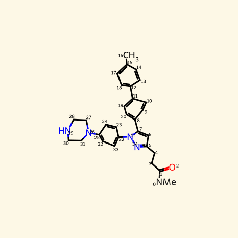 CNC(=O)CCc1cc(-c2ccc(-c3ccc(C)cc3)cc2)n(-c2ccc(N3CCNCC3)cc2)n1